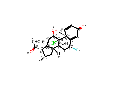 C[C@@H]1C[C@H]2[C@@H]3C[C@H](F)C4=CC(=O)C=C[C@]4(C)[C@@]3(Cl)[C@@H](O)C[C@]2(C)[C@H]1C(=O)C=O